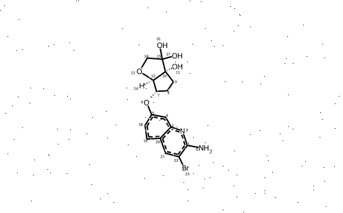 Nc1nc2cc(O[C@H]3CC[C@@]4(O)[C@@H]3OCC4(O)O)ccc2cc1Br